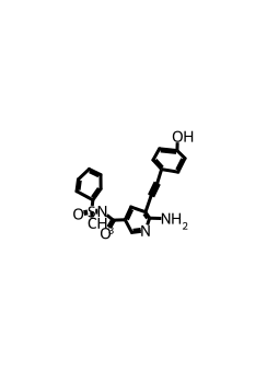 CS(=O)(=NC(=O)c1cnc(N)c(C#Cc2ccc(O)cc2)c1)c1ccccc1